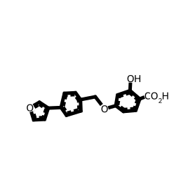 O=C(O)c1ccc(OCc2ccc(-c3ccoc3)cc2)cc1O